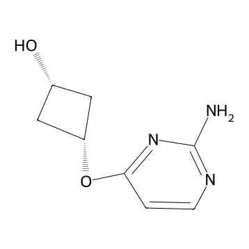 Nc1nccc(O[C@H]2C[C@@H](O)C2)n1